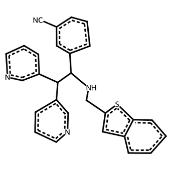 N#Cc1cccc(C(NCc2cc3ccccc3s2)C(c2cccnc2)c2cccnc2)c1